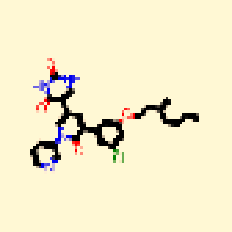 C=C/C=C\C(=C)CCOc1cc(Cl)cc(-c2cc(-c3c[nH]c(=O)[nH]c3=O)cn(-c3cccnc3)c2=O)c1